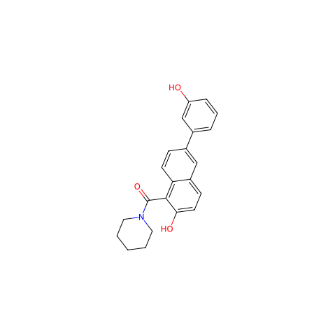 O=C(c1c(O)ccc2cc(-c3cccc(O)c3)ccc12)N1CCCCC1